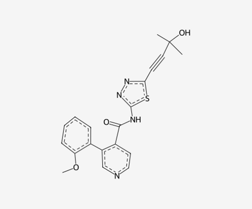 COc1ccccc1-c1cnccc1C(=O)Nc1nnc(C#CC(C)(C)O)s1